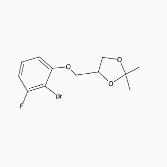 CC1(C)OCC(COc2cccc(F)c2Br)O1